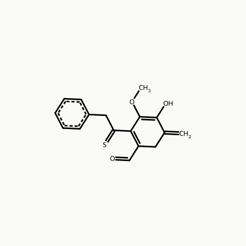 C=C1CC(C=O)=C(C(=S)Cc2ccccc2)C(OC)=C1O